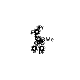 COC(=O)C1(CC(=O)N(c2ccccc2)C2CCCC(F)(F)C2)CCN(Cc2ccc(C(C)C)cc2F)CC1